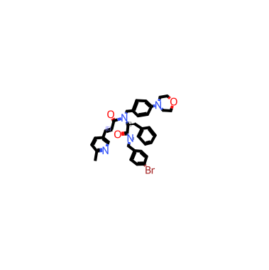 Cc1ccc(/C=C/C(=O)N(Cc2ccc(N3CCOCC3)cc2)[C@@H](Cc2ccccc2)C(=O)N(C)Cc2ccc(Br)cc2)cn1